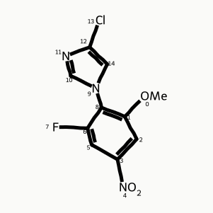 COc1cc([N+](=O)[O-])cc(F)c1-n1cnc(Cl)c1